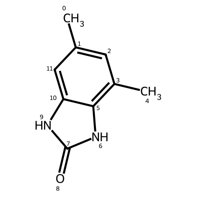 Cc1cc(C)c2[nH]c(=O)[nH]c2c1